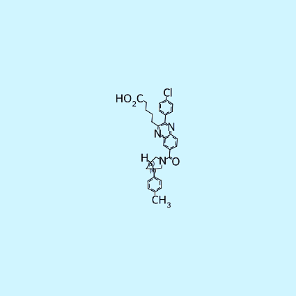 Cc1ccc([C@@]23C[C@@H]2CN(C(=O)c2ccc4nc(-c5ccc(Cl)cc5)c(CCCCC(=O)O)nc4c2)C3)cc1